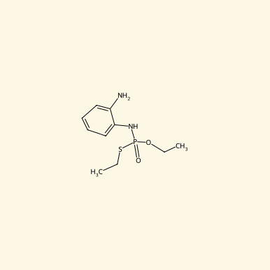 CCOP(=O)(Nc1ccccc1N)SCC